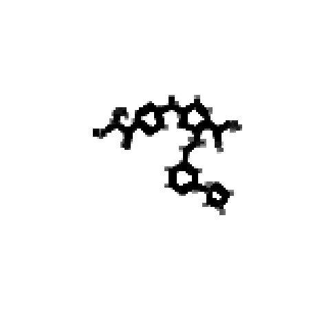 CN(C)C(=O)c1ccc(Nc2cc(NCc3cccc(-n4ccnc4)c3)c(C(N)=O)cn2)cc1